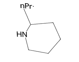 CC[CH]C1CCCCN1